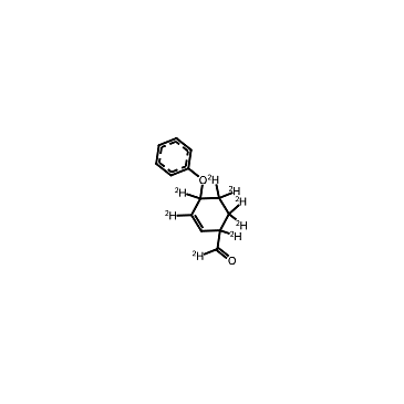 [2H]C(=O)C1([2H])C=C([2H])C([2H])(Oc2ccccc2)C([2H])([2H])C1([2H])[2H]